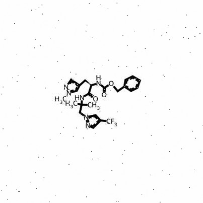 Cn1cc(C[C@@H](NC(=O)OCc2ccccc2)C(=O)NC(C)(C)Cn2cc(C(F)(F)F)cn2)cn1